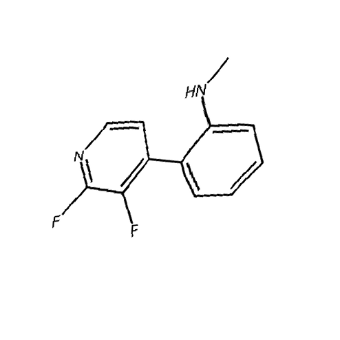 CNc1ccccc1-c1ccnc(F)c1F